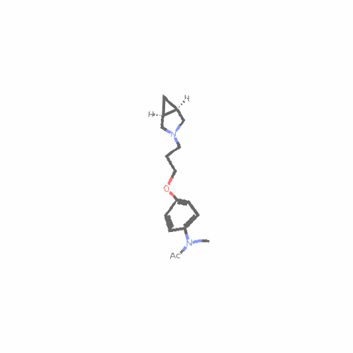 CC(=O)N(C)c1ccc(OCCCN2C[C@H]3C[C@H]3C2)cc1